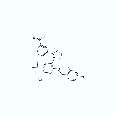 O=C([O-])c1cccc(C2=C(c3cc(C(F)(F)F)cnc3OCc3ccc(Cl)cc3F)CCC2)n1.[Na+]